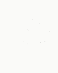 C=Cc1ccc(-c2ccccc2-c2ncccc2C(N)=O)cc1